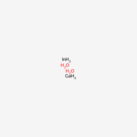 O.O.[GaH3].[InH3]